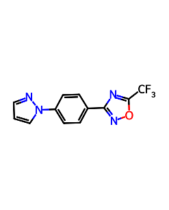 FC(F)(F)c1nc(-c2ccc(-n3cccn3)cc2)no1